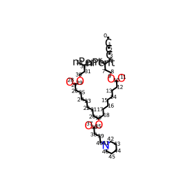 C=C=C=C=CC(CCCCC)CCOC(=O)CCCCCCCC(CCCCCCCC(=O)OCCC(C)CCCCC)OC(=O)CCCN1CCCCC1